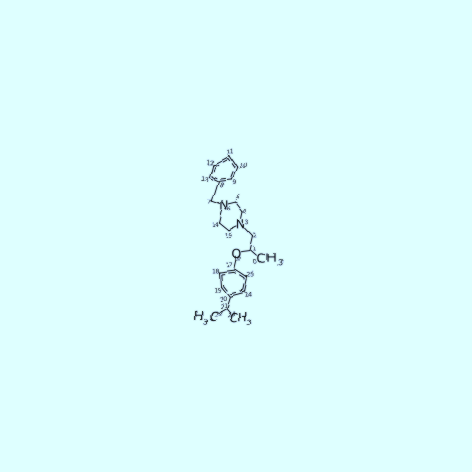 CC(CN1CCN(Cc2ccccc2)CC1)Oc1ccc(C(C)C)cc1